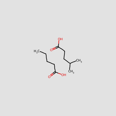 CC(C)CCC(=O)O.CCCCC(=O)O